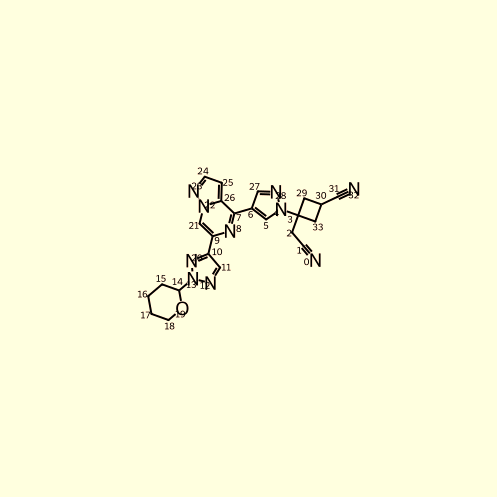 N#CCC1(n2cc(-c3nc(-c4cnn(C5CCCCO5)n4)cn4nccc34)cn2)CC(C#N)C1